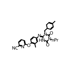 CCCn1c(=O)[nH]/c(=N\c2ccc(Oc3cccc(C#N)n3)c(C)c2)n(CC2C=CC(C)=CC2)c1=O